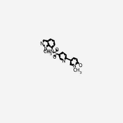 Cn1cc(-c2ccc(S(=O)(=O)Nc3cccc4cnn(C)c34)cn2)ccc1=O